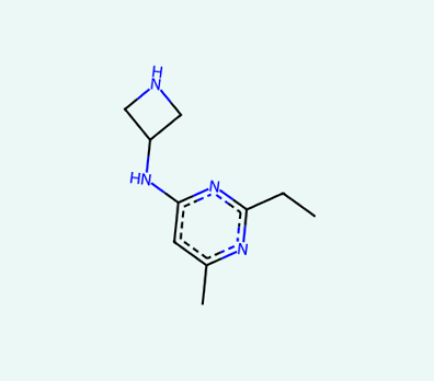 CCc1nc(C)cc(NC2CNC2)n1